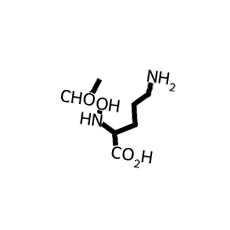 C[C]=O.NCCCC(NO)C(=O)O